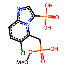 COOP(=O)(O)Cc1c(Cl)ccc2ncc(P(=O)(O)O)n12